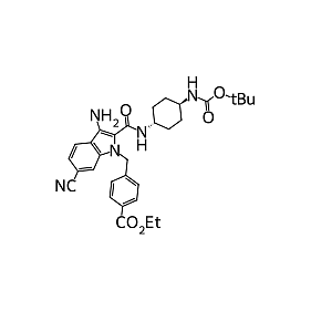 CCOC(=O)c1ccc(Cn2c(C(=O)N[C@H]3CC[C@H](NC(=O)OC(C)(C)C)CC3)c(N)c3ccc(C#N)cc32)cc1